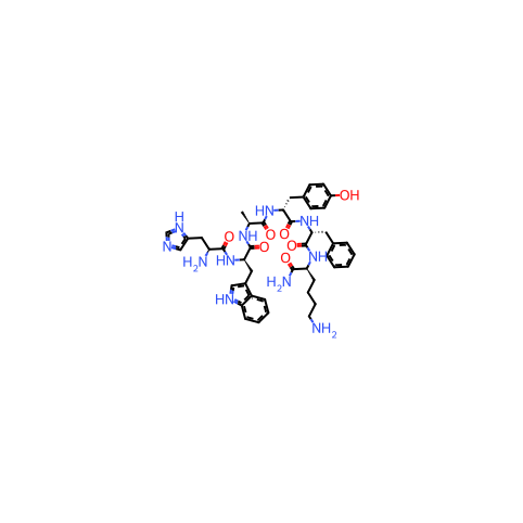 C[C@H](NC(=O)[C@@H](Cc1c[nH]c2ccccc12)NC(=O)[C@@H](N)Cc1cnc[nH]1)C(=O)N[C@H](Cc1ccc(O)cc1)C(=O)N[C@H](Cc1ccccc1)C(=O)N[C@@H](CCCCN)C(N)=O